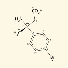 C[C@@](N)(CC(=O)O)c1ccc(Br)cc1